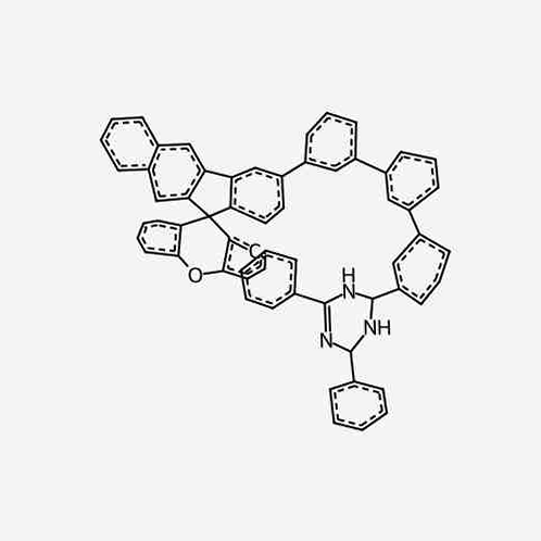 c1ccc(C2=NC(c3ccccc3)NC(c3cccc(-c4cccc(-c5cccc(-c6ccc7c(c6)-c6cc8ccccc8cc6C76c7ccccc7Oc7ccccc76)c5)c4)c3)N2)cc1